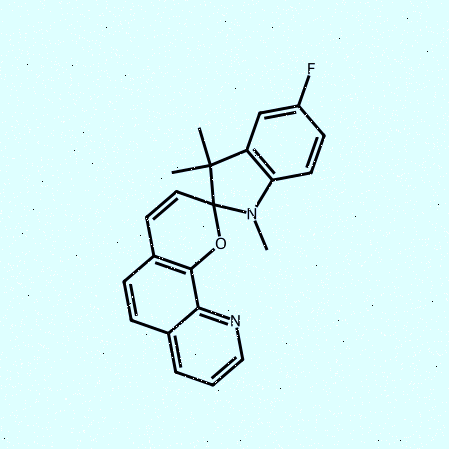 CN1c2ccc(F)cc2C(C)(C)C12C=Cc1ccc3cccnc3c1O2